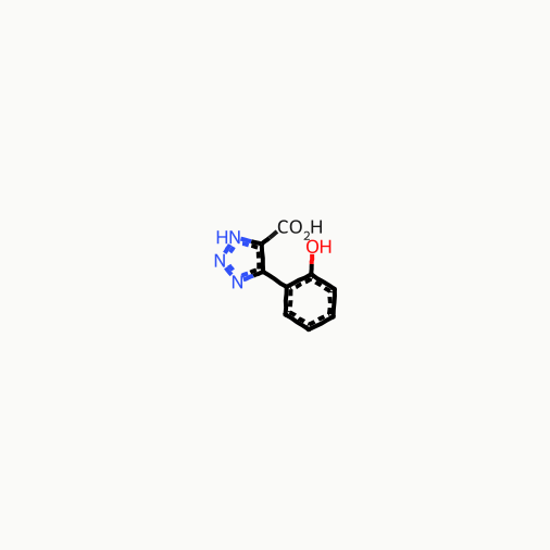 O=C(O)c1[nH]nnc1-c1ccccc1O